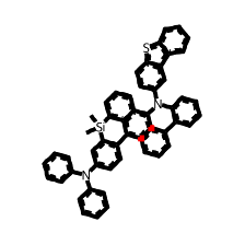 C[Si]1(C)c2cc(N(c3ccccc3)c3ccccc3)ccc2-c2ccc(N(c3ccc4sc5ccccc5c4c3)c3ccccc3-c3ccccc3)c3cccc1c23